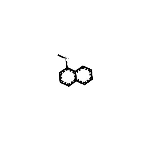 C[P]c1cccc2ccccc12